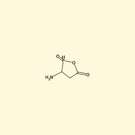 NC1CC(=O)O[PH]1=O